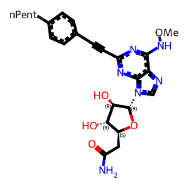 CCCCCc1ccc(C#Cc2nc(NOC)c3ncn([C@@H]4O[C@@H](CC(N)=O)[C@H](O)[C@H]4O)c3n2)cc1